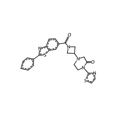 O=C(c1ccc2nc(-c3ccccc3)sc2c1)N1CC(N2CCN(c3nccs3)C(=O)C2)C1